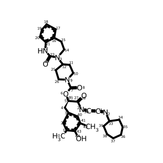 Cc1cc(C[C@@H](OC(=O)N2CCC(N3CCc4ccccc4NC3=O)CC2)C(=O)N=C=C=NC2CCCCCC2)cc(C)c1O